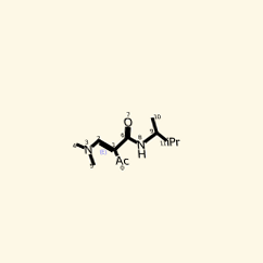 CC(=O)/C(=C\N(C)C)C(=O)NC(C)C(C)C